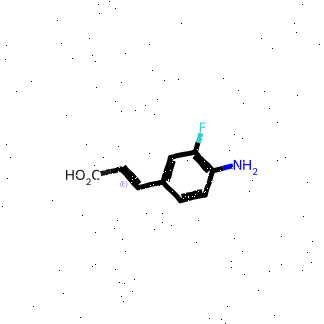 Nc1ccc(/C=C/C(=O)O)cc1F